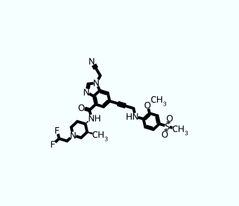 COc1cc(S(C)(=O)=O)ccc1NCC#Cc1cc(C(=O)N[C@H]2CCN(CC(F)F)C[C@@H]2C)c2ncn(CC#N)c2c1